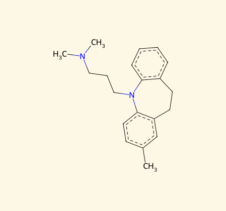 Cc1ccc2c(c1)CCc1ccccc1N2CCCN(C)C